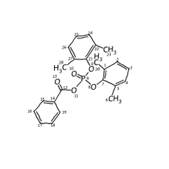 Cc1cccc(C)c1OP(=O)(OC(=O)c1ccccc1)Oc1c(C)cccc1C